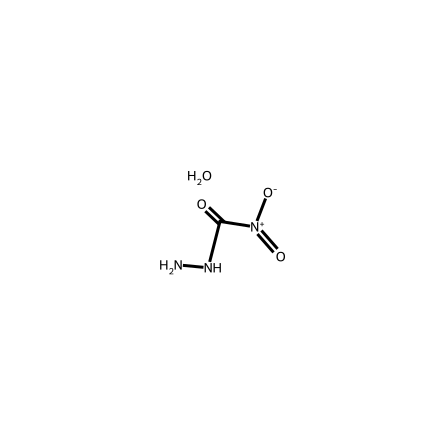 NNC(=O)[N+](=O)[O-].O